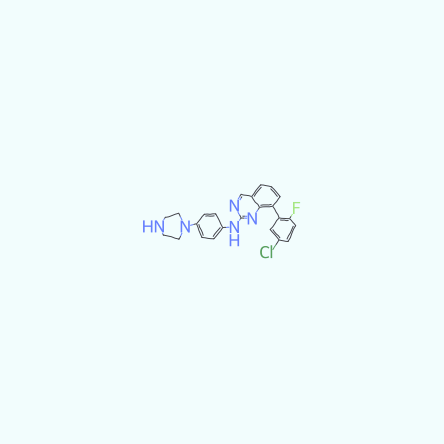 Fc1ccc(Cl)cc1-c1cccc2cnc(Nc3ccc(N4CCNCC4)cc3)nc12